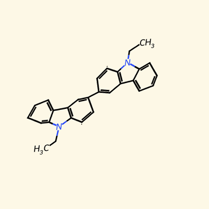 CCn1c2[c]cc(-c3c[c]c4c(c3)c3ccccc3n4CC)cc2c2ccccc21